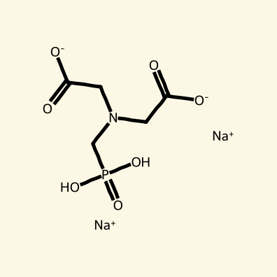 O=C([O-])CN(CC(=O)[O-])CP(=O)(O)O.[Na+].[Na+]